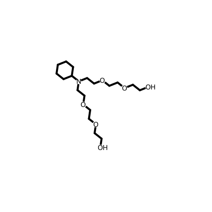 OCCOCCOCCN(CCOCCOCCO)C1CCCCC1